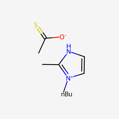 CC([O-])=S.CCCC[n+]1cc[nH]c1C